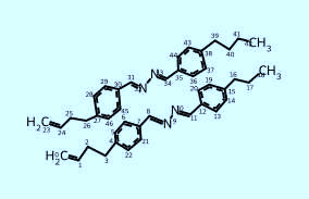 C=CCCc1ccc(C=NN=Cc2ccc(CCC)cc2)cc1.C=CCCc1ccc(C=NN=Cc2ccc(CCCC)cc2)cc1